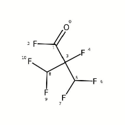 O=C(F)C(F)(C(F)F)C(F)F